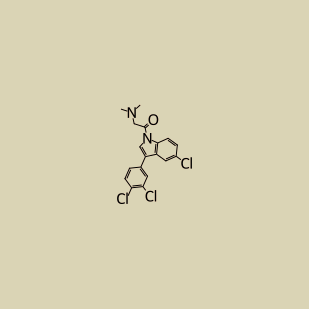 CN(C)CC(=O)n1cc(-c2ccc(Cl)c(Cl)c2)c2cc(Cl)ccc21